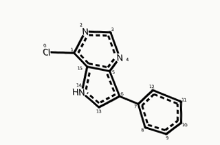 Clc1ncnc2c(-c3ccccc3)c[nH]c12